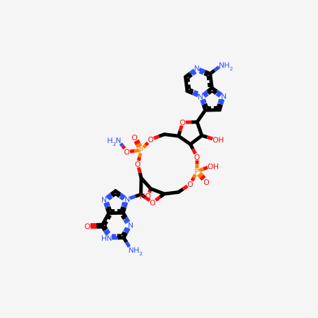 NOP1(=O)OCC2OC(c3cnc4c(N)nccn34)C(O)C2OP(=O)(O)OCC2OC(n3cnc4c(=O)[nH]c(N)nc43)C(O1)C2O